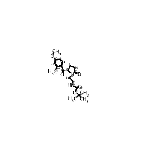 COc1ccc(C(=O)[C@@H]2CCC(=O)N2CCNC(=O)OC(C)(C)C)c(C)c1